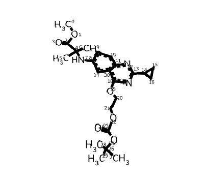 COC(=O)C(C)(C)Nc1ccc2nc(C3CC3)nc(OCCOC(=O)OC(C)(C)C)c2c1